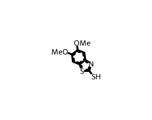 COc1cc2nc(S)sc2cc1OC